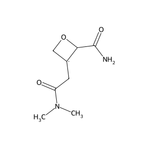 CN(C)C(=O)C[C]1COC1C(N)=O